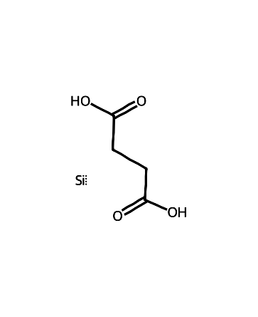 O=C(O)CCC(=O)O.[Si]